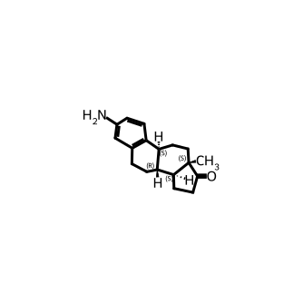 C[C@]12CC[C@@H]3c4ccc(N)cc4CC[C@H]3[C@@H]1CCC2=O